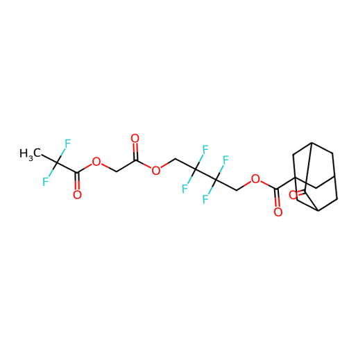 CC(F)(F)C(=O)OCC(=O)OCC(F)(F)C(F)(F)COC(=O)C12CC3CC(C1)C(=O)C(C3)C2